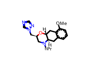 CCCN1C[C@@H](Cn2cncn2)O[C@@H]2Cc3c(cccc3OC)C[C@H]21